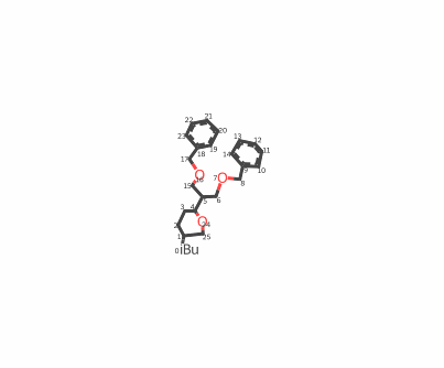 CCC(C)C1CCC(C(COCc2ccccc2)COCc2ccccc2)OC1